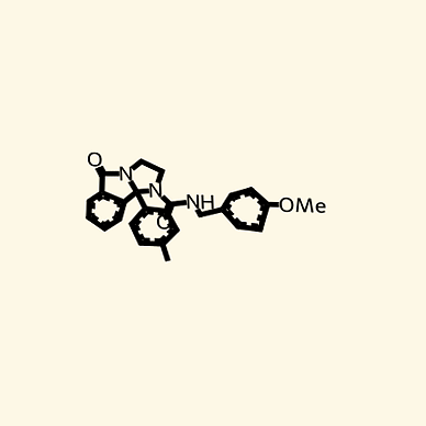 COc1ccc(CNC(=O)N2CCN3C(=O)c4ccccc4C23c2ccc(C)cc2)cc1